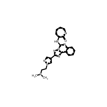 CN(C)CCn1cc(-c2nc3c4ccccc4nc(Nc4ccccnc4=O)n3n2)cn1